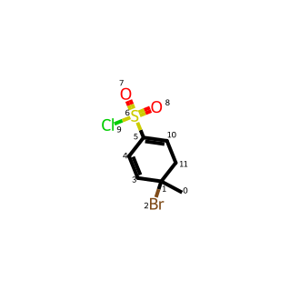 CC1(Br)C=CC(S(=O)(=O)Cl)=CC1